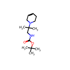 CC(C)(C)OC(=O)NCC(C)(C)N1CC=CCC1